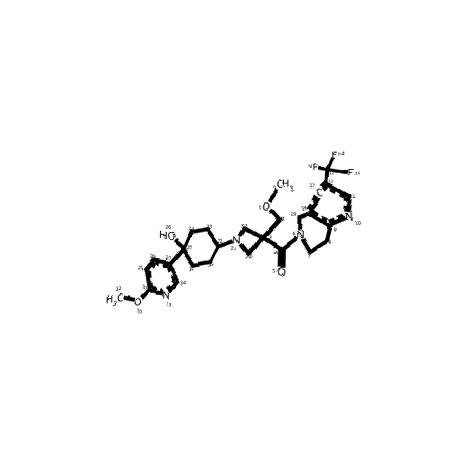 COCC1(C(=O)N2CCc3ncc(C(F)(F)F)cc3C2)CN(C2CCC(O)(c3ccc(OC)nc3)CC2)C1